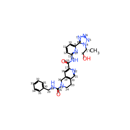 C[C@H](CO)n1nnnc1-c1cccc(NC(=O)c2cc3c(cn2)CCN(C(=O)NCc2ccccc2)C3)n1